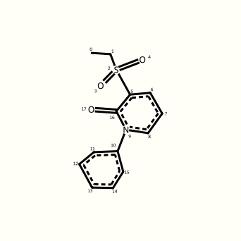 CCS(=O)(=O)c1cccn(-c2ccccc2)c1=O